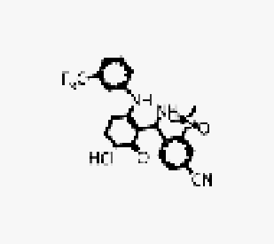 CS(=O)(=O)c1cc(C#N)ccc1C(N)C1=C(Nc2cccc(C(F)(F)F)c2)CCCC1=O.Cl